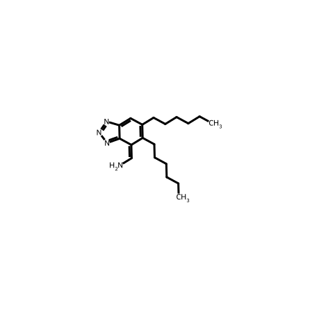 CCCCCCc1cc2c(c(=CN)c1CCCCCC)=NN=N2